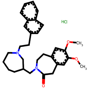 COc1cc2c(cc1OC)CC(=O)N(CC1CCCCN(CCc3ccc4ccccc4c3)C1)CC2.Cl